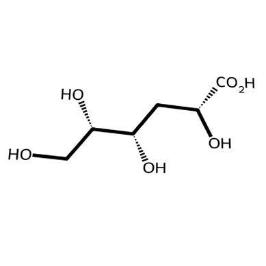 O=C(O)[C@H](O)C[C@H](O)[C@@H](O)CO